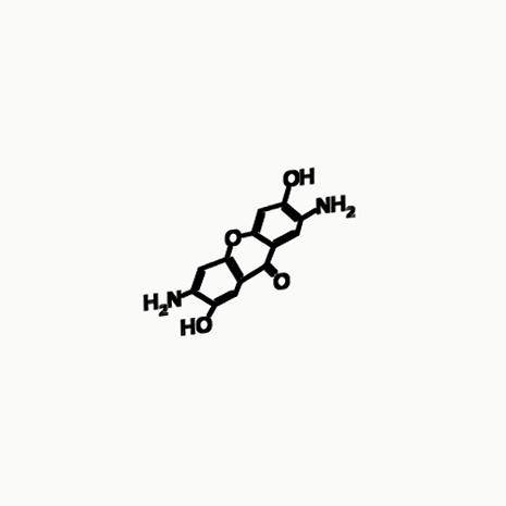 Nc1cc2c(=O)c3cc(O)c(N)cc3oc2cc1O